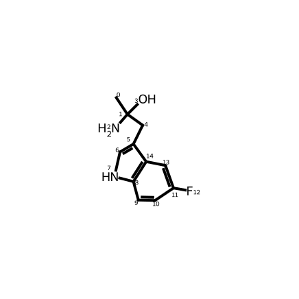 CC(N)(O)Cc1c[nH]c2ccc(F)cc12